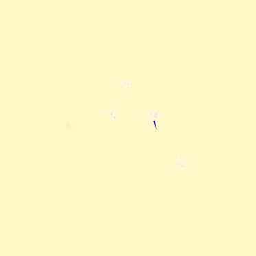 CC(C)c1ccnc(N[C@@H]2CCCNC2)n1